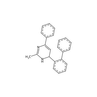 CC1=NC(c2ccccc2)=CC(c2ccccc2-c2ccccc2)N1